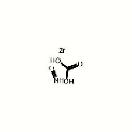 N=O.O=C(O)O.[Zr]